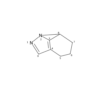 c1nn2c3c1CCCC32